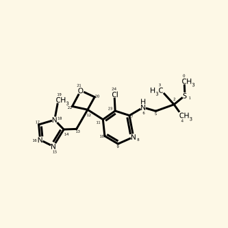 CSC(C)(C)CNc1nccc(C2(Cc3nncn3C)COC2)c1Cl